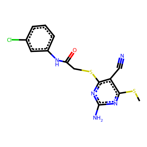 CSc1nc(N)nc(SCC(=O)Nc2cccc(Cl)c2)c1C#N